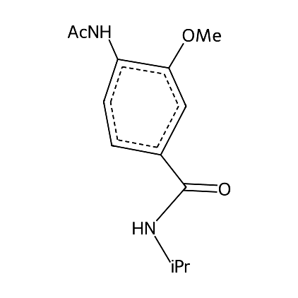 COc1cc(C(=O)NC(C)C)ccc1NC(C)=O